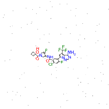 Nc1ncnn2c(-c3cc(C(=O)N[C@@H]4CN(C(=O)C5(O)CCC5)C[C@@H]4F)c(Cl)cc3F)cc(C(F)(F)F)c12